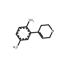 Cc1ccc(C)c(C2=CC[N]CC2)c1